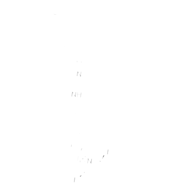 CN1[C@@H]2CC[C@H]1C[C@@H](Oc1cccc(CNCc3cc(-c4ccc(F)cc4)on3)c1)C2